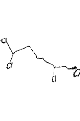 ClCC(Cl)CCCC(Cl)Cl